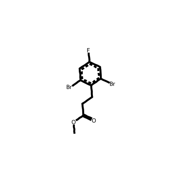 COC(=O)CCc1c(Br)cc(F)cc1Br